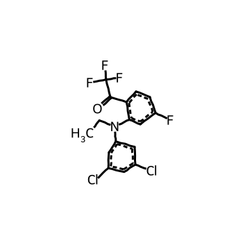 CCN(c1cc(Cl)cc(Cl)c1)c1cc(F)ccc1C(=O)C(F)(F)F